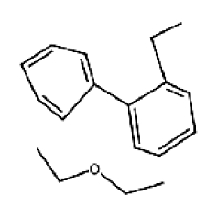 CCOCC.CCc1ccccc1-c1ccccc1